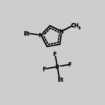 CC[B-](F)(F)F.CC[n+]1ccn(C)c1